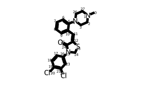 CN1CCN(c2ccccc2C=C2SCN(c3ccc(Cl)c(Cl)c3)C2=O)CC1